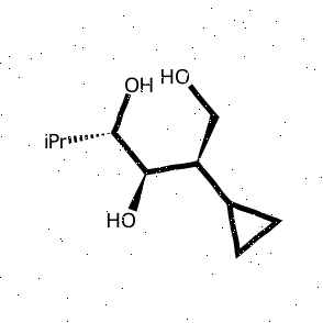 CC(C)[C@H](O)[C@H](O)[C@@H](CO)C1CC1